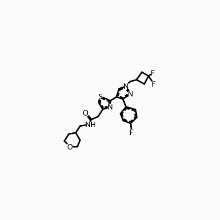 O=C(Cc1csc(-c2cn(CC3CC(F)(F)C3)nc2-c2ccc(F)cc2)n1)NCC1CCOCC1